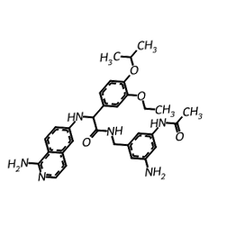 CCOc1cc(C(Nc2ccc3c(N)nccc3c2)C(=O)NCc2cc(N)cc(NC(C)=O)c2)ccc1OC(C)C